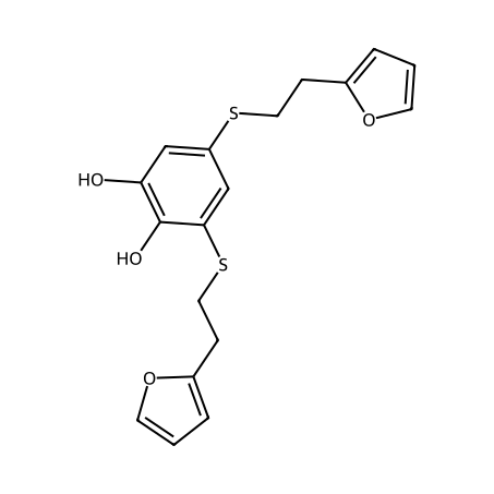 Oc1cc(SCCc2ccco2)cc(SCCc2ccco2)c1O